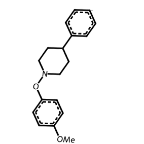 COc1ccc(ON2CCC(c3cc[c]cc3)CC2)cc1